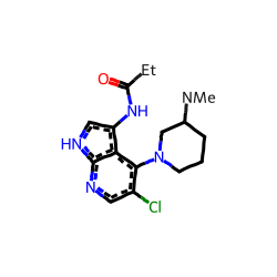 CCC(=O)Nc1c[nH]c2ncc(Cl)c(N3CCCC(NC)C3)c12